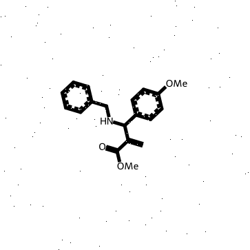 C=C(C(=O)OC)C(NCc1ccccc1)c1ccc(OC)cc1